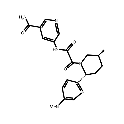 CNc1ccc([C@H]2CC[C@H](C)CN2C(=O)C(=O)Nc2cncc(C(N)=O)c2)nc1